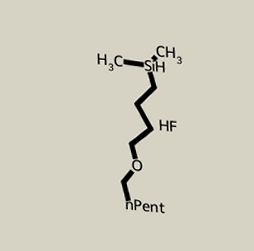 CCCCCCOCCCC[SiH](C)C.F